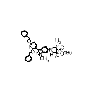 C[C@@H]1CN(c2ccc3c(-c4ccc(OCc5ccccc5)nc4OCc4ccccc4)nn(C)c3c2)C[C@H](C)N1C(=O)OC(C)(C)C